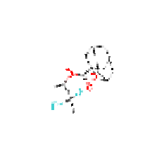 CC(OC(=O)C12CC3CC(C1)C(=O)C(C3)C2)C(C)(F)F